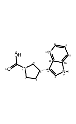 O=C(O)N1CC[C@@H](c2c[nH]c3cccnc23)C1